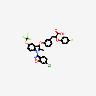 Cc1c(Oc2cccc(CC(Oc3ccc(F)cc3)C(=O)O)c2)c2cc(OC(F)(F)F)ccc2n1-c1noc2cc(Cl)ccc12